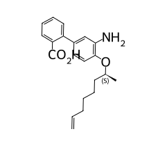 C=CCCCC[C@H](C)Oc1ccc(-c2ccccc2C(=O)O)cc1N